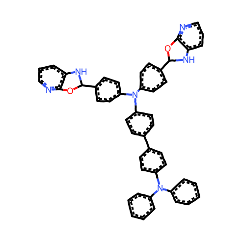 c1ccc(N(c2ccccc2)c2ccc(-c3ccc(N(c4ccc(C5Nc6cccnc6O5)cc4)c4ccc(C5Nc6cccnc6O5)cc4)cc3)cc2)cc1